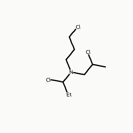 CCC(Cl)N(CCCCl)CC(C)Cl